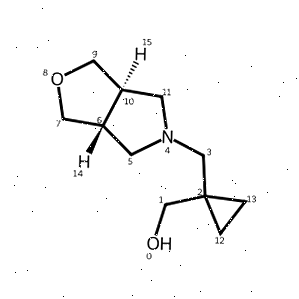 OCC1(CN2C[C@@H]3COC[C@H]3C2)CC1